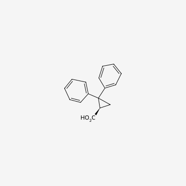 O=C(O)[C@@H]1CC1(c1ccccc1)c1ccccc1